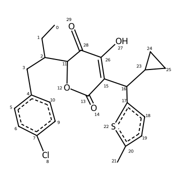 CCC(Cc1ccc(Cl)cc1)C1OC(=O)C(C(c2ccc(C)s2)C2CC2)=C(O)C1=O